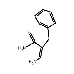 NC=C(Cc1ccccc1)C(N)=O